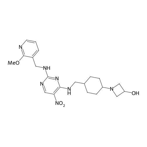 COc1ncccc1CNc1ncc([N+](=O)[O-])c(NCC2CCC(N3CC(O)C3)CC2)n1